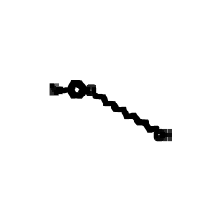 N#Cc1ccc(OCCCCCCCCCCCCO)cc1